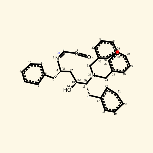 O=B/C=N\[C@@H](Cc1ccccc1)C[C@H](O)[C@@H](Cc1ccccc1)N(Cc1ccccc1)Cc1ccccc1